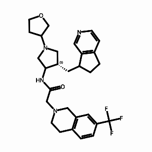 O=C(CN1CCc2ccc(C(F)(F)F)cc2C1)NC1CN(C2CCOC2)C[C@@H]1CC1CCc2ccncc21